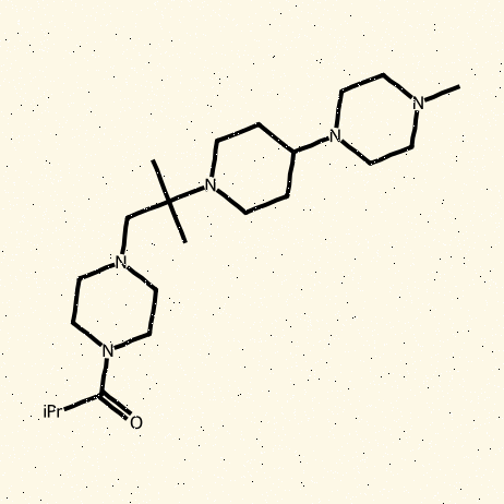 CC(C)C(=O)N1CCN(CC(C)(C)N2CCC(N3CCN(C)CC3)CC2)CC1